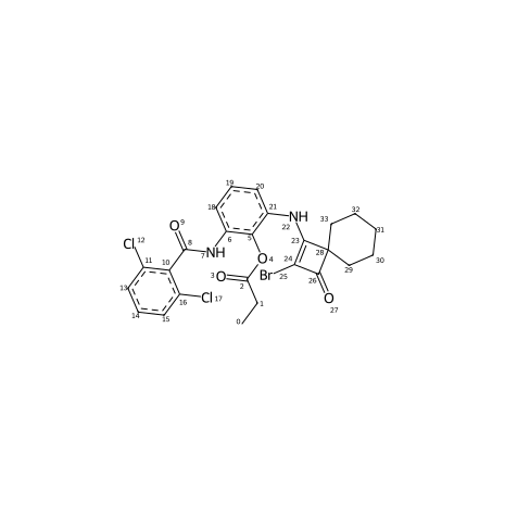 CCC(=O)Oc1c(NC(=O)c2c(Cl)cccc2Cl)cccc1NC1=C(Br)C(=O)C12CCCCC2